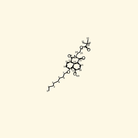 CCCCCCCCOc1ccc2c3c(ccc(OC)c13)C(=O)N(CCOC(=O)C(C)(C)C)C2=O